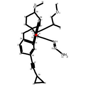 COCC(C)N1C(=O)C2(N=C1N=NN)c1cc(C#CC3CC3)ccc1CC21CCC(OC)CC1